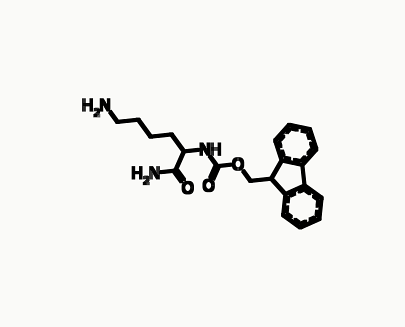 NCCCCC(NC(=O)OCC1c2ccccc2-c2ccccc21)C(N)=O